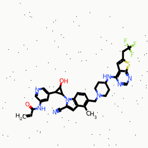 C=CC(=O)Nc1cncc(C2C(O)C2n2c(C#N)cc3c(C)c(CN4CCC(Nc5ncnc6sc(CC(F)(F)F)cc56)CC4)ccc32)c1